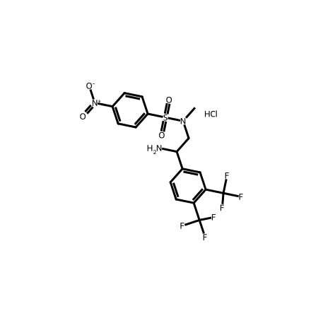 CN(CC(N)c1ccc(C(F)(F)F)c(C(F)(F)F)c1)S(=O)(=O)c1ccc([N+](=O)[O-])cc1.Cl